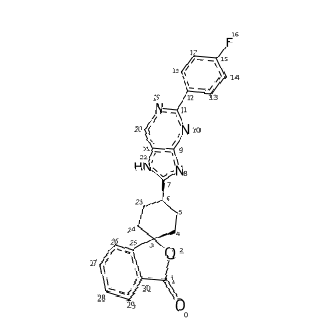 O=C1O[C@]2(CC[C@H](c3nc4nc(-c5ccc(F)cc5)ncc4[nH]3)CC2)c2ccccc21